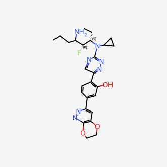 CCCC(N)[C@@H](F)[C@H](CC)N(c1ncc(-c2ccc(-c3cc4c(nn3)OCCO4)cc2O)nn1)C1CC1